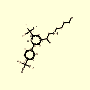 CCCCCNCC(C)c1cc(-c2ccc(C(F)(F)F)cc2)nc(C(F)(F)F)c1